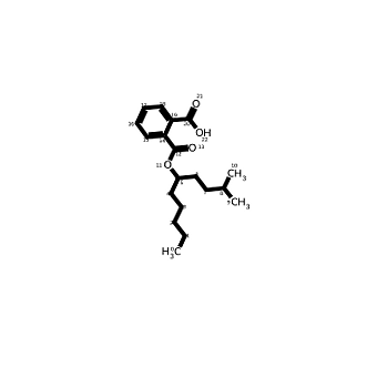 CCCCCC(CCC(C)C)OC(=O)c1ccccc1C(=O)O